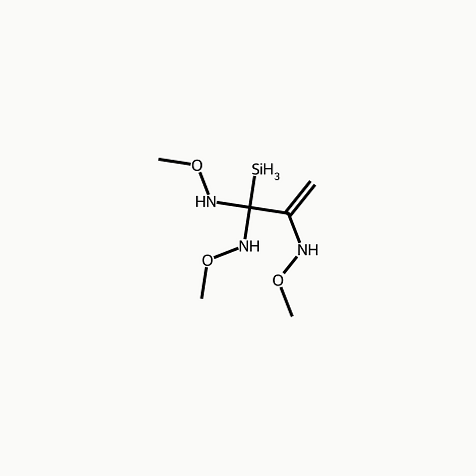 C=C(NOC)C([SiH3])(NOC)NOC